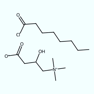 CCCCCCCC(=O)Cl.C[N+](C)(C)CC(O)CC(=O)[O-]